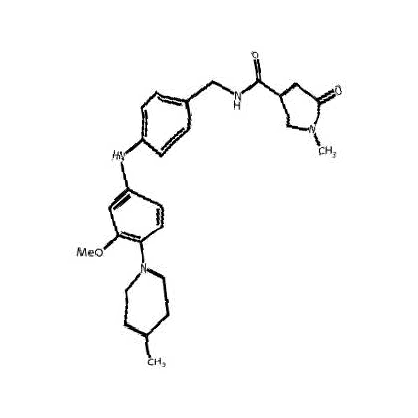 COc1cc(Nc2ccc(CNC(=O)C3CC(=O)N(C)C3)cc2)ccc1N1CCC(C)CC1